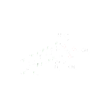 CCO[Si](OCC)(OCC)C(CC)C(F)C(F)(F)C(F)(F)C(F)(F)C(F)(F)C(F)C(F)F